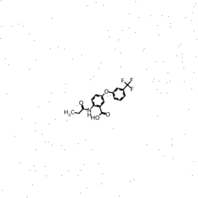 CCC(=O)Nc1ccc(Oc2cccc(C(F)(F)F)c2)cc1C(=O)O